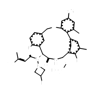 C/C(=C\C(=O)N([C@@H]1C(=O)N[C@@H](CC(=O)O)c2cc(cc(C)c2F)-c2c(C)cc(C#N)cc2OCc2ccc(F)c1c2)N1CC(F)C1)C(F)(F)F